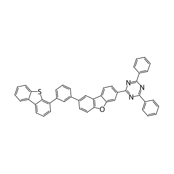 c1ccc(-c2nc(-c3ccccc3)nc(-c3ccc4c(c3)oc3ccc(-c5cccc(-c6cccc7c6sc6ccccc67)c5)cc34)n2)cc1